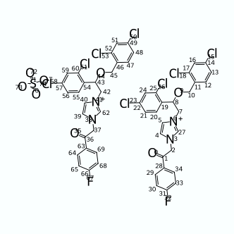 O=C(Cn1cc[n+](CC(OCc2ccc(Cl)cc2Cl)c2ccc(Cl)cc2Cl)c1)c1ccc(F)cc1.O=C(Cn1cc[n+](CC(OCc2ccc(Cl)cc2Cl)c2ccc(Cl)cc2Cl)c1)c1ccc(F)cc1.O=S(=O)([O-])[O-]